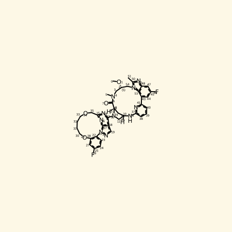 CO[C@H]1CN(C)C(=O)[C@@H]2C[C@@H](CN2c2nc3nc4c2cnn4-c2ccc(F)cc2OCCCCOC3)Nc2cccc(n2)-c2cc(F)cc3nc(C)n(c23)C1